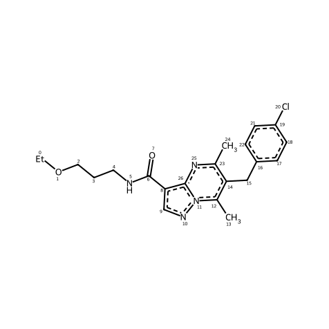 CCOCCCNC(=O)c1cnn2c(C)c(Cc3ccc(Cl)cc3)c(C)nc12